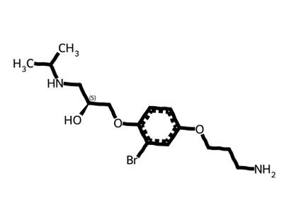 CC(C)NC[C@H](O)COc1ccc(OCCCN)cc1Br